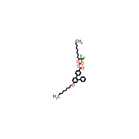 C=CCCCCCCOc1ccc(-c2ccc(C(=O)OC(=O)OC(CCCCCCCC)C(F)(F)F)cc2)c(-c2ccccc2)c1